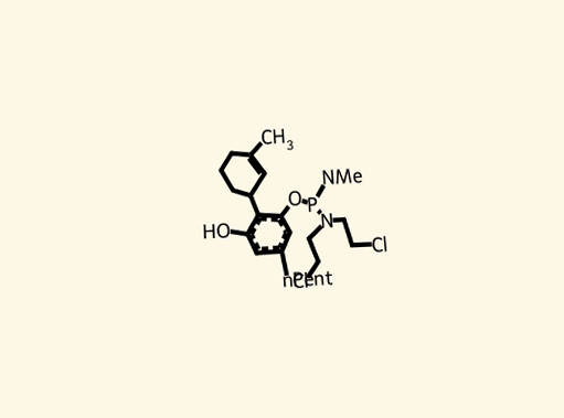 CCCCCc1cc(O)c(C2C=C(C)CCC2)c(OP(NC)N(CCCl)CCCl)c1